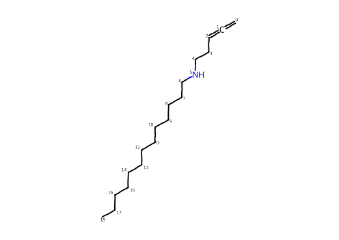 C=C=CCCNCCCCCCCCCCCCC